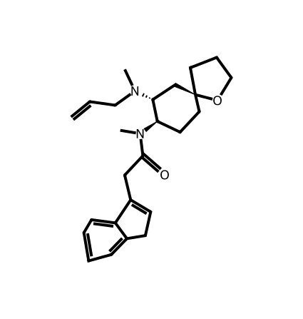 C=CCN(C)[C@@H]1C[C@]2(CCCO2)CC[C@H]1N(C)C(=O)CC1=CCc2ccccc21